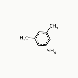 Cc1cccc(C)c1.[SiH4]